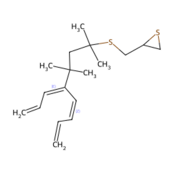 C=C/C=C\C(=C/C=C)C(C)(C)CC(C)(C)SCC1CS1